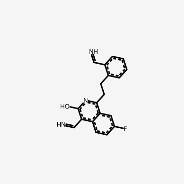 N=Cc1ccccc1CCc1nc(O)c(C=N)c2ccc(F)cc12